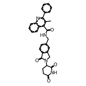 Cc1c(-c2ccccc2)nc2ccccc2c1C(=O)NCc1ccc2c(c1)CN(C1CCC(=O)NC1=O)C2=O